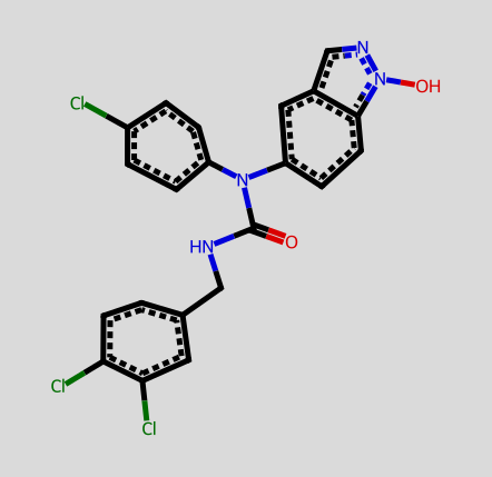 O=C(NCc1ccc(Cl)c(Cl)c1)N(c1ccc(Cl)cc1)c1ccc2c(cnn2O)c1